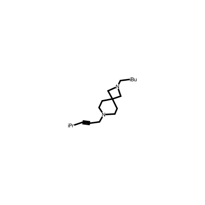 CCC(C)CN1CC2(CCN(CC#CC(C)C)CC2)C1